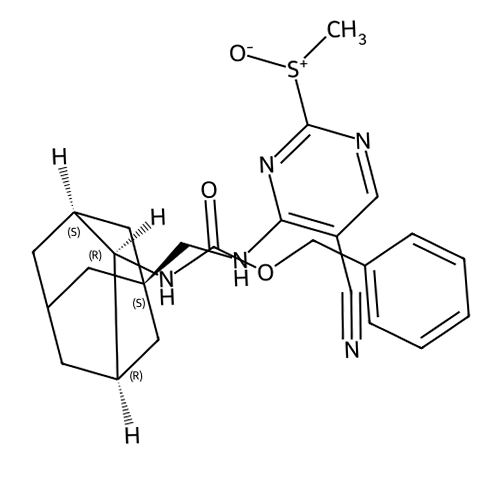 C[S+]([O-])c1ncc(C#N)c(NC[C@]23CC4C[C@H](C2)[C@H](NC(=O)OCc2ccccc2)[C@@H](C4)C3)n1